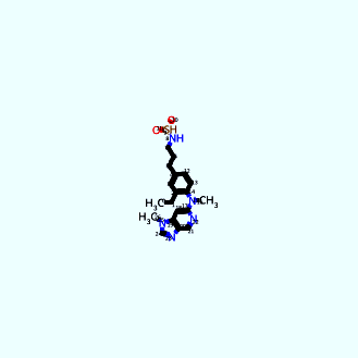 CCc1cc(CCCN[SH](=O)=O)ccc1N(C)c1cc2c(cn1)ncn2C